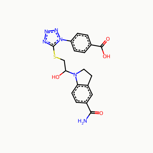 NC(=O)c1ccc2c(c1)CCN2C(O)CSc1nnnn1-c1ccc(C(=O)O)cc1